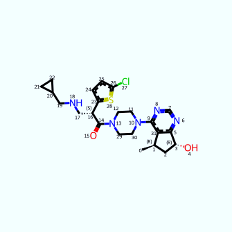 C[C@@H]1C[C@@H](O)c2ncnc(N3CCN(C(=O)[C@H](CNCC4CC4)c4ccc(Cl)s4)CC3)c21